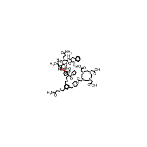 CCCCNC(=O)/N=C/C(CSCc1cc(CSCCC(N)=O)cc(CN2CCN(C(=O)CN3CCN(CC(=O)O)CCN(CC(=O)O)CCN(CC(=O)O)CC3)CC2)c1)C(=O)N1CCC[C@H]1C(=O)N1CCC[C@H]1C(=O)N[C@@H](CC)C(=O)N[C@@H](CCC(N)=O)C(=O)N[C@@H](Cc1ccccc1)C(N)=O